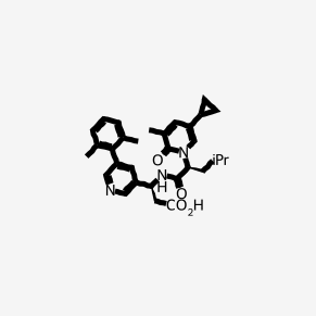 Cc1cccc(C)c1-c1cncc([C@H](CC(=O)O)NC(=O)[C@H](CC(C)C)n2cc(C3CC3)cc(C)c2=O)c1